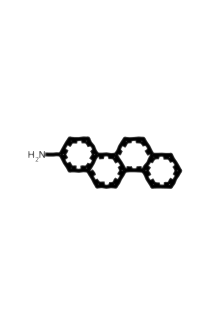 Nc1ccc2c(ccc3c4ccccc4ccc23)c1